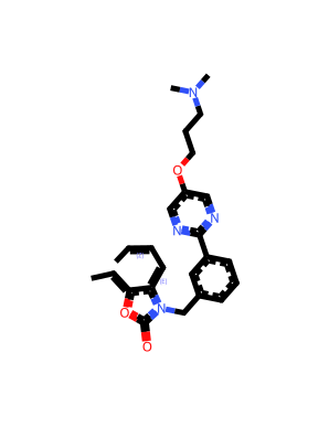 CC=c1oc(=O)n(Cc2cccc(-c3ncc(OCCCN(C)C)cn3)c2)/c1=C/C=C\C